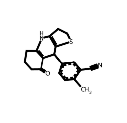 Cc1ccc(C2C3=C(CCS3)NC3=C2C(=O)CCC3)cc1C#N